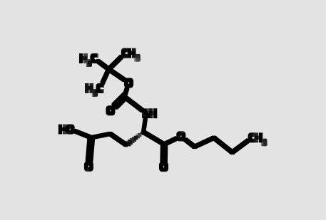 CCCCOC(=O)[C@H](CCC(=O)O)NC(=O)OC(C)(C)C